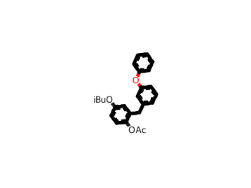 CC(=O)Oc1ccc(OCC(C)C)cc1Cc1cccc(Oc2ccccc2)c1